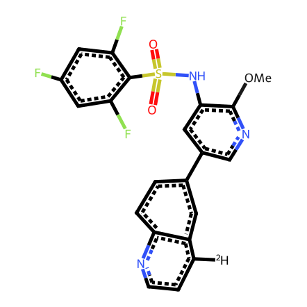 [2H]c1ccnc2ccc(-c3cnc(OC)c(NS(=O)(=O)c4c(F)cc(F)cc4F)c3)cc12